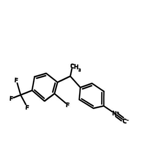 [C-]#[N+]c1ccc(C(C)c2ccc(C(F)(F)F)cc2F)cc1